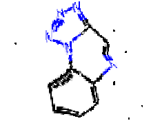 c1ccc2c(c1)ncc1nnnn12